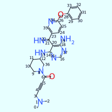 CN(C)CC#CC(=O)N1CCCC(Nc2ncnc(N)c2C(=N)c2ccc(Oc3ccccc3)nc2)C1